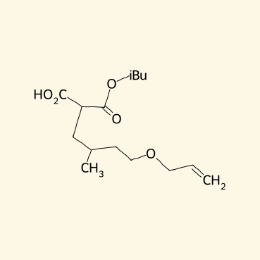 C=CCOCCC(C)CC(C(=O)O)C(=O)OC(C)CC